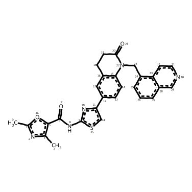 Cc1nc(C)c(C(=O)Nc2nc(-c3ccc4c(c3)CCC(=O)N4Cc3cccc4cnccc34)cs2)o1